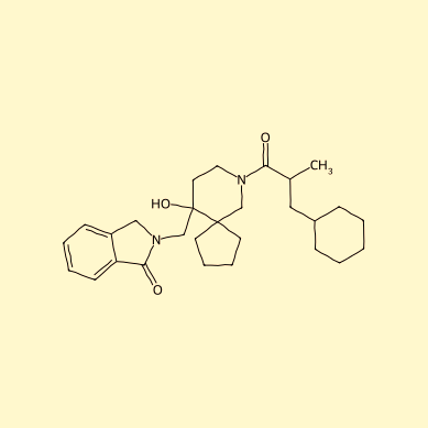 CC(CC1CCCCC1)C(=O)N1CCC(O)(CN2Cc3ccccc3C2=O)C2(CCCC2)C1